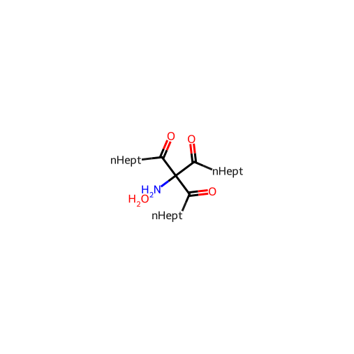 CCCCCCCC(=O)C(N)(C(=O)CCCCCCC)C(=O)CCCCCCC.O